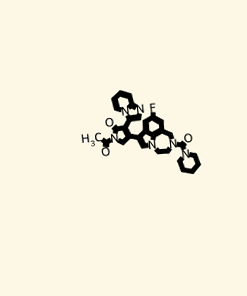 CC(=O)N1CC(c2cn3c4c(cc(F)cc24)CN(C(=O)N2CCCCC2)CC3)=C(c2cnc3ccccn23)C1=O